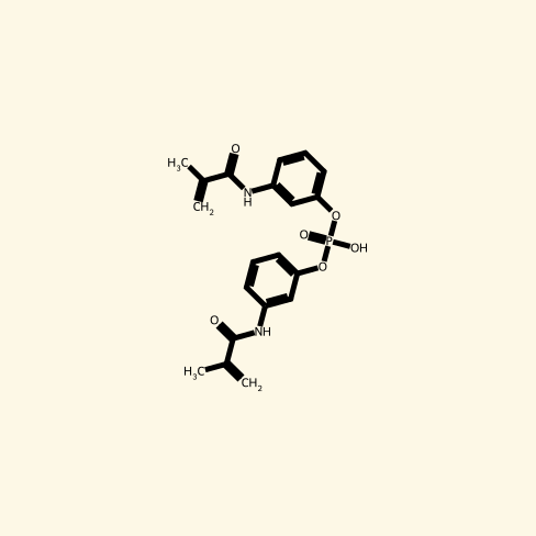 C=C(C)C(=O)Nc1cccc(OP(=O)(O)Oc2cccc(NC(=O)C(=C)C)c2)c1